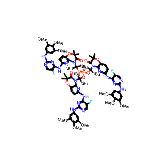 COc1cc(Nc2ncc(F)c(Nc3ccc4c(n3)N(C(OP(=O)(OC(N3C(=O)C(C)(C)Oc5ccc(Nc6nc(Nc7cc(OC)c(OC)c(OC)c7)ncc6F)nc53)(C(C)(C)C)C(C)(C)C)OC(N3C(=O)C(C)(C)Oc5ccc(Nc6nc(Nc7cc(OC)c(OC)c(OC)c7)ncc6F)nc53)(C(C)(C)C)C(C)(C)C)(C(C)(C)C)C(C)(C)C)C(=O)C(C)(C)O4)n2)cc(OC)c1OC